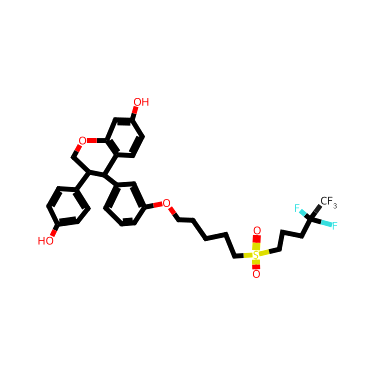 O=S(=O)(CCCCCOc1cccc(C2c3ccc(O)cc3OCC2c2ccc(O)cc2)c1)CCCC(F)(F)C(F)(F)F